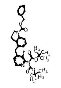 CC(C)(C)OC(=O)N(C(=O)OC(C)(C)C)c1nccc(Cc2cccc3c2CCCN3C(=O)OCc2ccccc2)c1F